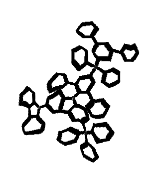 c1ccc(-c2cc(-c3ccccc3)cc([Si](c3ccccc3)(c3ccccc3)c3cc(-c4ccccc4)c(-n4c5ccc(-n6c7ccccc7c7ccccc76)cc5c5cc([Si](c6ccccc6)(c6ccccc6)c6ccccc6)ccc54)c(-c4ccccc4)c3)c2)cc1